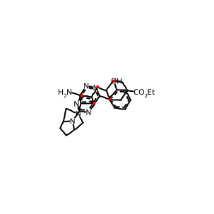 CCOC(=O)C1CCC(Cc2cnc(N3C4CCC3CN(c3cc(-c5ccccc5O)nnc3N)C4)nc2)CC1